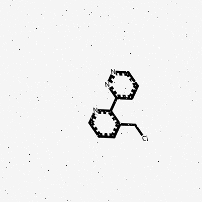 ClCc1cccnc1-c1cccnn1